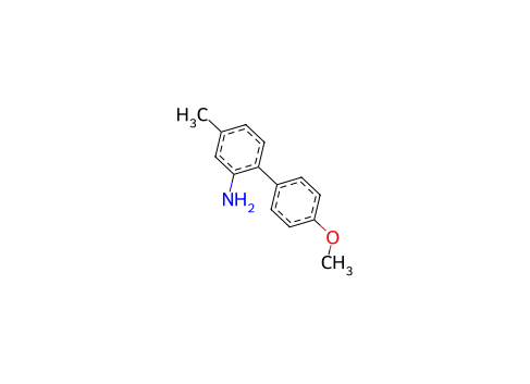 COc1ccc(-c2ccc(C)cc2N)cc1